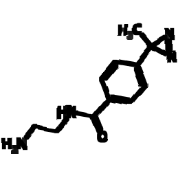 CC1(c2ccc(C(=O)NCCN)cc2)N=N1